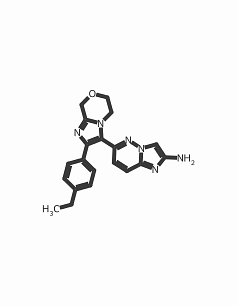 CCc1ccc(-c2nc3n(c2-c2ccc4nc(N)cn4n2)CCOC3)cc1